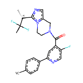 C[C@H](c1ncc2n1CCN(C(=O)c1cc(-c3ccc(C#N)cc3)ncc1F)C2)C(C)(F)F